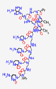 CCCN(CC(=O)NCCN(CC(=O)NCCN(CC(=O)NCCN(CC(=O)NCCN(CC(=O)NCCN(CC(=O)NCCN(CC(=O)C(C)C)C(=O)Cn1cc(C)c(=O)[nH]c1=O)C(=O)Cn1cnc2c(N)ncnc21)C(=O)Cn1cc(C)c(=O)[nH]c1=O)C(=O)Cn1ccc(N)nc1=O)C(=O)Cn1ccc(N)nc1=O)C(=O)Cn1ccc(N)nc1=O)C(=O)Cn1ccc(N)nc1=O